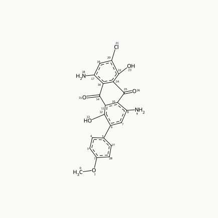 COc1ccc(-c2cc(N)c3c(c2O)C(=O)c2c(N)cc(Cl)c(O)c2C3=O)cc1